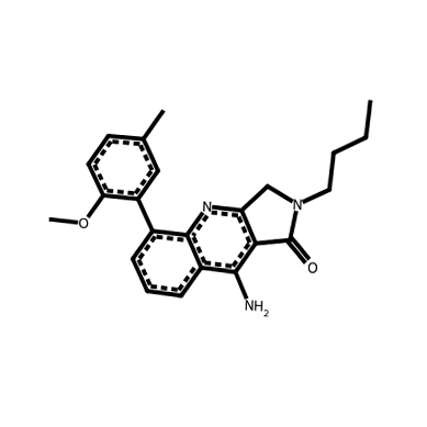 CCCCN1Cc2nc3c(-c4cc(C)ccc4OC)cccc3c(N)c2C1=O